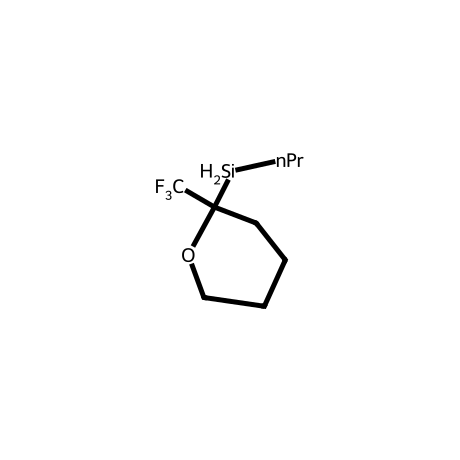 CCC[SiH2]C1(C(F)(F)F)CCCCO1